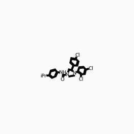 CC(C)c1ccc(NC(=O)N2CCN(c3ccc(Cl)cc3Cl)C(c3ccc(Cl)cc3)C2)cc1